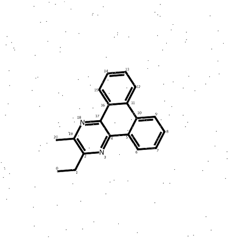 CCc1nc2c3ccccc3c3ccccc3c2nc1C